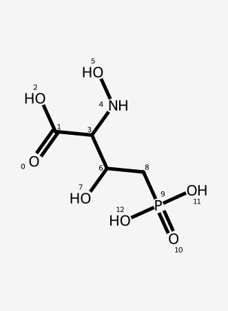 O=C(O)C(NO)C(O)CP(=O)(O)O